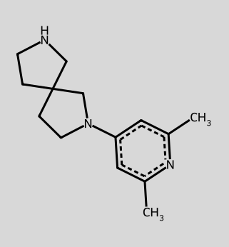 Cc1cc(N2CCC3(CCNC3)C2)cc(C)n1